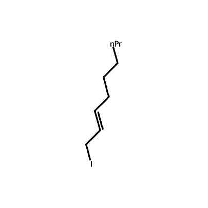 CCCCCCC=CCI